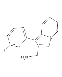 NCc1cn2ccccc2c1-c1cccc(F)c1